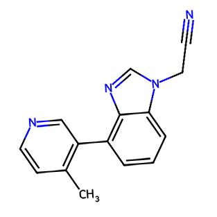 Cc1ccncc1-c1cccc2c1ncn2CC#N